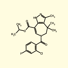 Cc1n[nH]c2c1C(C)(C)CN(C(=O)c1ccc(F)cc1Cl)C=C2C(=O)OC(C)C